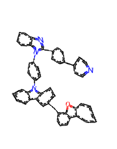 c1ccc2c(c1)nc(-c1ccc(-c3ccncc3)cc1)n2-c1ccc(-n2c3ccccc3c3cc(-c4cccc5c4oc4ccccc45)ccc32)cc1